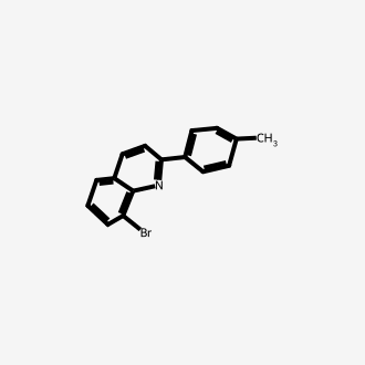 Cc1ccc(-c2ccc3cccc(Br)c3n2)cc1